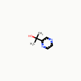 CC(C)(O)c1[c]nccn1